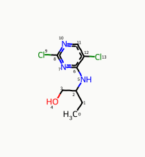 CCC(CO)Nc1nc(Cl)ncc1Cl